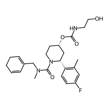 Cc1cc(F)ccc1[C@H]1C[C@@H](OC(=O)NCCO)CCN1C(=O)N(C)CC1=CCCC=C1